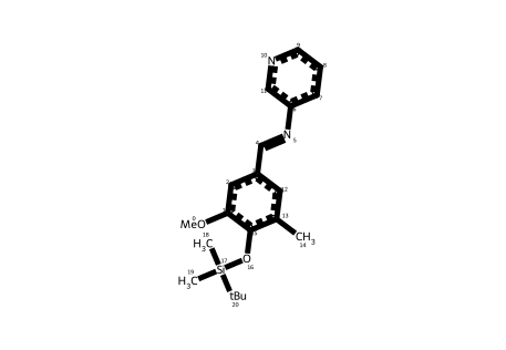 COc1cc(C=Nc2cccnc2)cc(C)c1O[Si](C)(C)C(C)(C)C